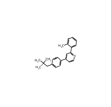 Cc1ccccc1-c1cc(-c2ccc(CC(C)(C)C)cc2)ccn1